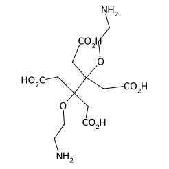 NCCOC(CC(=O)O)(CC(=O)O)C(CC(=O)O)(CC(=O)O)OCCN